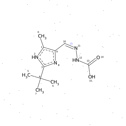 Cc1[nH]c(C(C)(C)C)nc1/C=N\NC(=O)O